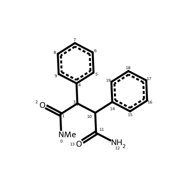 CNC(=O)[C](c1ccccc1)C(C(N)=O)c1ccccc1